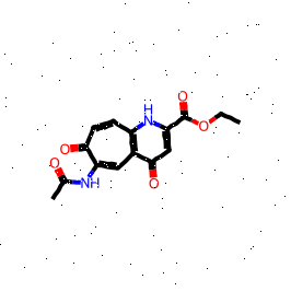 CCOC(=O)c1cc(=O)c2cc(NC(C)=O)c(=O)ccc2[nH]1